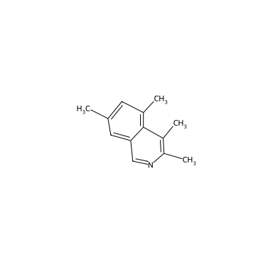 Cc1cc(C)c2c(C)c(C)ncc2c1